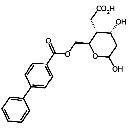 O=C(O)C[C@@H]1[C@H](O)CC(O)O[C@H]1COC(=O)c1ccc(-c2ccccc2)cc1